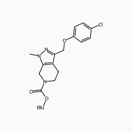 Cn1nc(COc2ccc(Cl)cc2)c2c1CN(C(=O)OC(C)(C)C)CC2